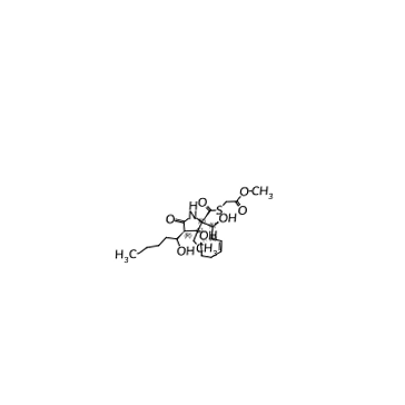 CCCCCC(O)[C@H]1C(=O)N[C@](C(=O)SCC(=O)OC)([C@@H](O)[C@@H]2C=CCCC2)[C@]1(O)CC